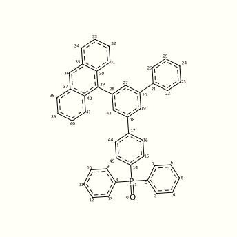 O=P(c1ccccc1)(c1ccccc1)c1ccc(-c2cc(-c3ccccc3)cc(-c3c4ccccc4cc4ccccc34)c2)cc1